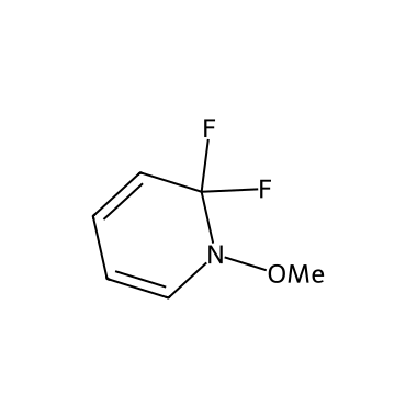 CON1C=CC=CC1(F)F